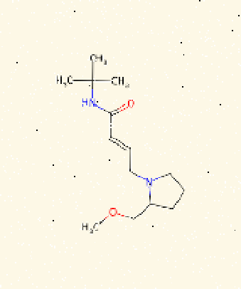 COCC1CCCN1C/C=C/C(=O)NC(C)(C)C